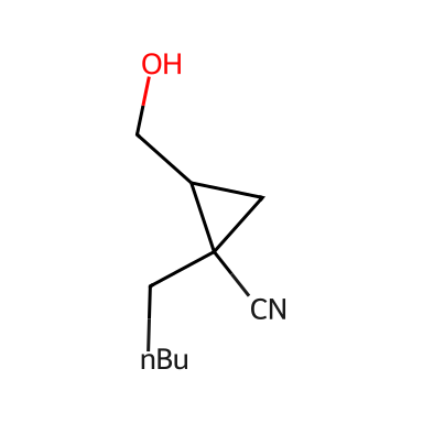 CCCCCC1(C#N)CC1CO